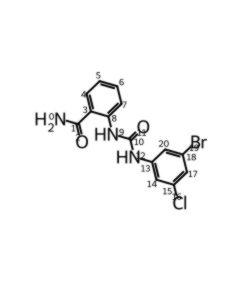 NC(=O)c1ccccc1NC(=O)Nc1cc(Cl)cc(Br)c1